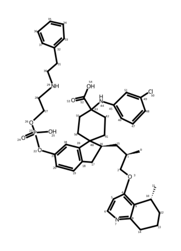 C[C@@H](COc1ccnc2c1[C@H](C)CCC2)C[C@H]1Cc2ccc(OP(=O)(O)OCCNCCc3ccccc3)cc2C12CCC(Nc1cccc(Cl)c1)(C(=O)O)CC2